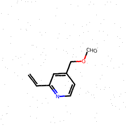 C=Cc1cc(COC=O)ccn1